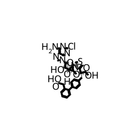 Nc1nc(Cl)nc2c1ncn2[C@@H]1O[C@@H]2C(O[C@](Cc3ccc(-c4ccccc4CC(=O)O)cc3)(C(=O)O)c3cscn3)[C@]2(O)[C@H]1O